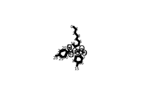 CCCCCCC(OS(=O)(=O)c1ccc(C)cc1)C(C)OS(=O)(=O)c1ccc(C)cc1